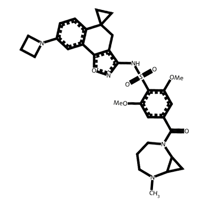 COc1cc(C(=O)N2CCCN(C)C3CC32)cc(OC)c1S(=O)(=O)Nc1noc2c1CC1(CC1)c1ccc(N3CCC3)cc1-2